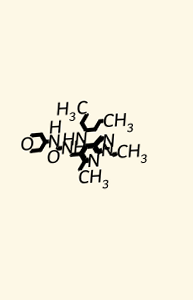 CCCC(CCC)Nc1c(CNC(=O)NC2CCOCC2)c(CC)nc2c1cnn2CC